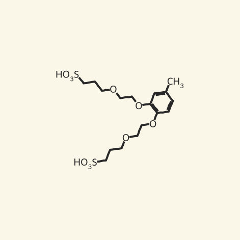 Cc1ccc(OCCOCCCS(=O)(=O)O)c(OCCOCCCS(=O)(=O)O)c1